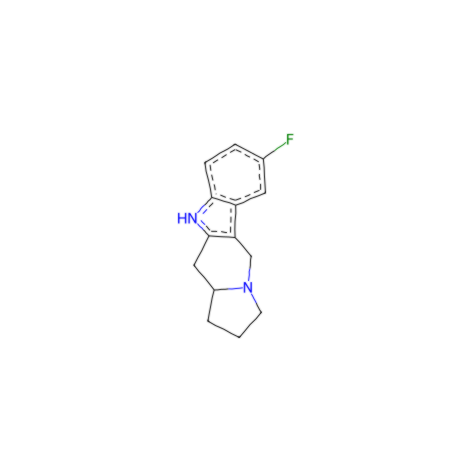 Fc1ccc2[nH]c3c(c2c1)CN1CCCC1C3